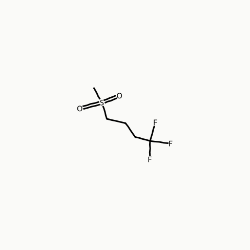 CS(=O)(=O)CCCC(F)(F)F